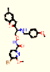 COc1ccc(CNC(CONC(=O)c2ccc(Br)c(OC)n2)c2cc3cc(C)ccc3o2)cc1